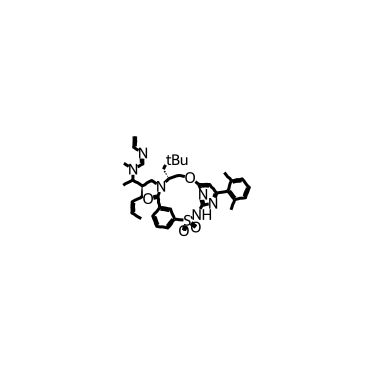 C=C/N=C\N(C)C(C)[C@H](C/C=C\C)CN1C(=O)c2cccc(c2)S(=O)(=O)Nc2nc(cc(-c3c(C)cccc3C)n2)OC[C@H]1CC(C)(C)C